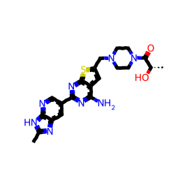 Cc1nc2cc(-c3nc(N)c4cc(CN5CCN(C(=O)[C@H](C)O)CC5)sc4n3)cnc2[nH]1